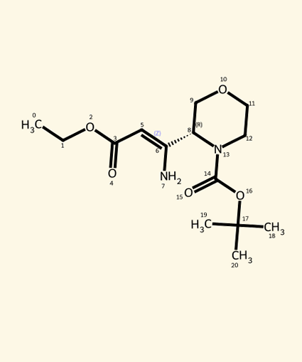 CCOC(=O)/C=C(\N)[C@@H]1COCCN1C(=O)OC(C)(C)C